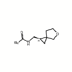 CC(C)(C)C(=O)NC[C@@H]1CC12CCOC2